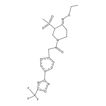 CCON=C1CCN(C(=O)Cc2ccc(-c3noc(C(F)(F)F)n3)cc2)CC1S(C)(=O)=O